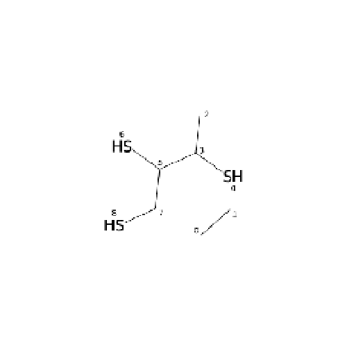 CC.CC(S)C(S)CS